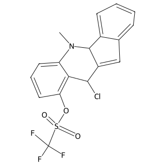 CN1c2cccc(OS(=O)(=O)C(F)(F)F)c2C(Cl)C2=Cc3ccccc3C21